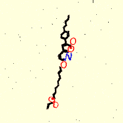 CCCCCc1ccc(-c2cc3ccc(OCCCCCCCCCCOC(=O)CC)nc3oc2=O)cc1